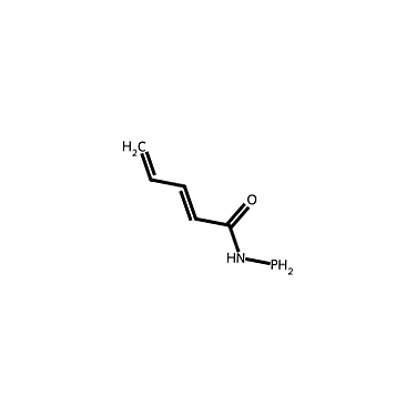 C=C/C=C/C(=O)NP